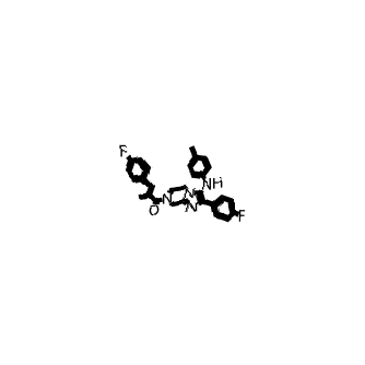 Cc1ccc(Nc2c(-c3ccc(F)cc3)nc3n2CCN(C(=O)C(C)Cc2ccc(F)cc2)C3)cc1